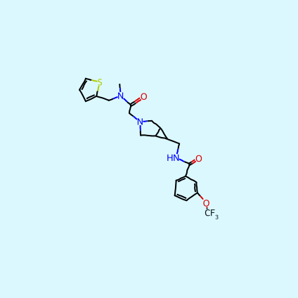 CN(Cc1cccs1)C(=O)CN1CC2C(CNC(=O)c3cccc(OC(F)(F)F)c3)C2C1